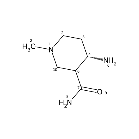 CN1CC[C@H](N)C(C(N)=O)C1